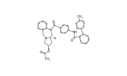 CC(=O)O[C@@H]1C[C@@H]2CN(C(=O)c3ccc(NC(=O)c4ccccc4-c4ccc(C)cc4)cc3)c3ccccc3CN2C1